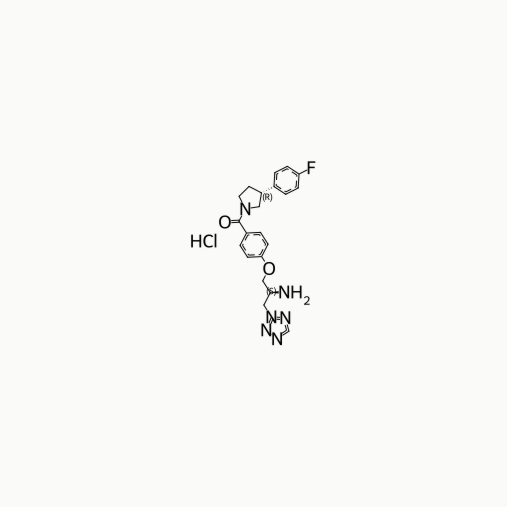 Cl.N[C@H](COc1ccc(C(=O)N2CC[C@H](c3ccc(F)cc3)C2)cc1)Cn1ncnn1